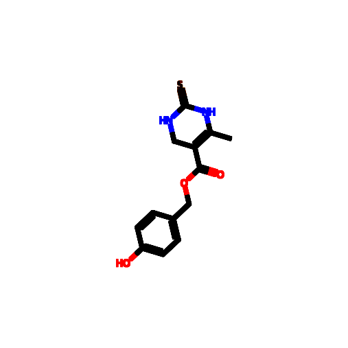 CC1=C(C(=O)OCc2ccc(O)cc2)CNC(=S)N1